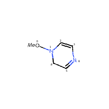 CON1C=CN=CC1